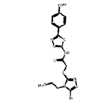 CCc1nnc(SCC(=O)Nc2nnc(-c3ccc(OC)cc3)s2)n1CCOC